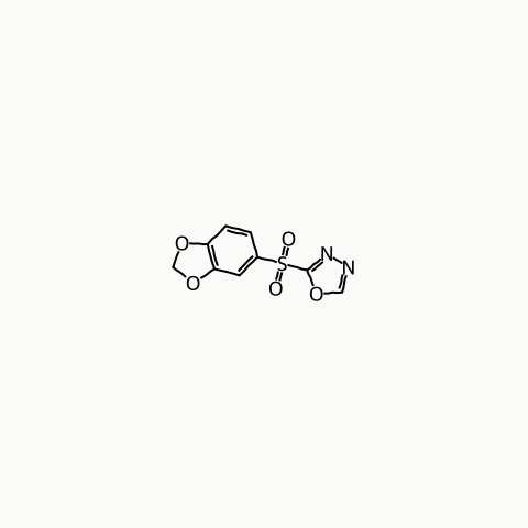 O=S(=O)(c1ccc2c(c1)OCO2)c1nnco1